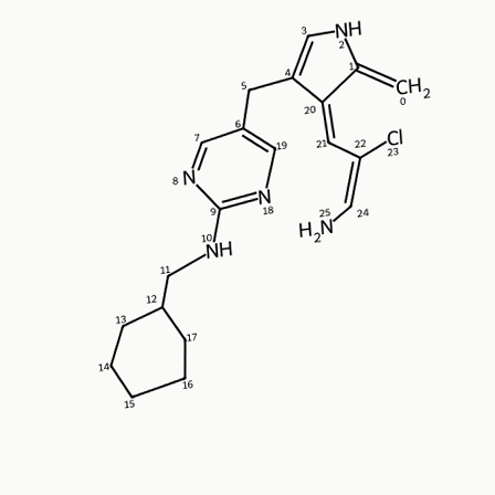 C=c1[nH]cc(Cc2cnc(NCC3CCCCC3)nc2)/c1=C/C(Cl)=C\N